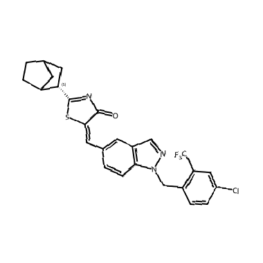 O=C1N=C([C@H]2CC3CCC2C3)SC1=Cc1ccc2c(cnn2Cc2ccc(Cl)cc2C(F)(F)F)c1